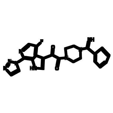 N=C(c1ccccc1)N1CCN(C(=O)C(=O)c2c[nH]c3c(-n4ccnn4)ncc(F)c23)CC1